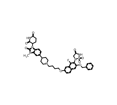 Cn1c(=O)n(C2CCC(=O)NC2=O)c2ccc(C3CCN(CCCCOc4ccc5cc(OCc6ccccc6)c(N6CC(=O)NS6(=O)=O)c(F)c5c4)CC3)cc21